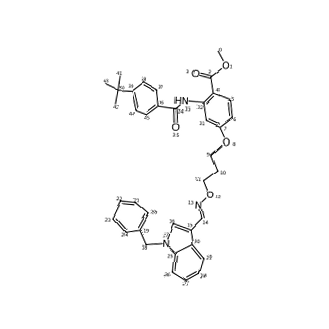 COC(=O)c1ccc(OCCCON=Cc2cn(Cc3ccccc3)c3ccccc23)cc1NC(=O)c1ccc(C(C)(C)C)cc1